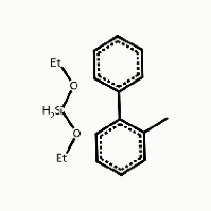 CCO[SiH2]OCC.Cc1ccccc1-c1ccccc1